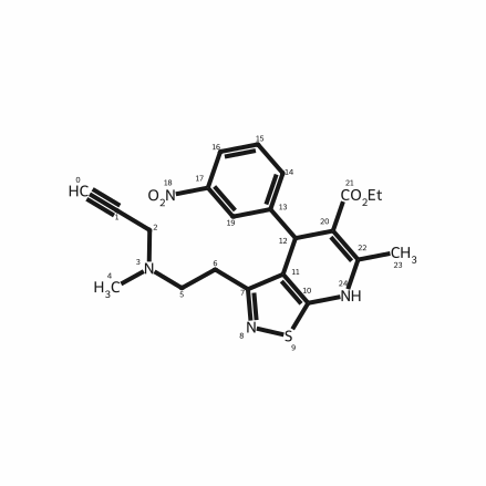 C#CCN(C)CCc1nsc2c1C(c1cccc([N+](=O)[O-])c1)C(C(=O)OCC)=C(C)N2